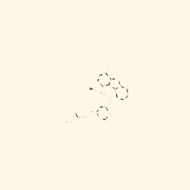 [C-]#[N+]C1(c2ccc(OC)c3oc4ccccc4c23)CCc2nc(C)nc(OCC(=O)OCC)c2C1